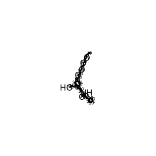 C#CCOCCOCCOCCOCCN1CCN(CCCNC(=O)OCc2ccccc2)C(CCO)C1